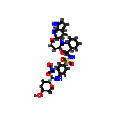 CO[C@H]1CC[C@H](CNc2ccc(S(=O)(=O)NC(=O)c3ccccc3N3CCCOc4nc5[nH]ccc5cc43)cc2[N+](=O)[O-])OC1